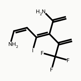 C=C(N)/C(C(=C)C(F)(F)F)=C(I)\C=C/N